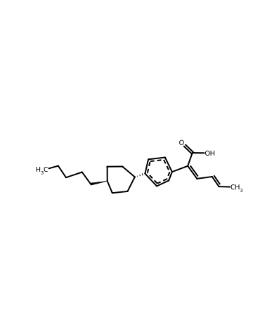 CC=CC=C(C(=O)O)c1ccc([C@H]2CC[C@H](CCCCC)CC2)cc1